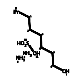 CC(C)CCCCCCO.N.N.O=S(=O)(O)O